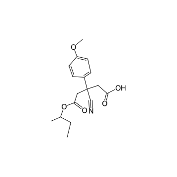 CCC(C)OC(=O)CC(C#N)(CC(=O)O)c1ccc(OC)cc1